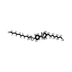 CCCCCCCCCC/C=C/Oc1ccc(-c2ncc(CCCCCCCC)cn2)cc1